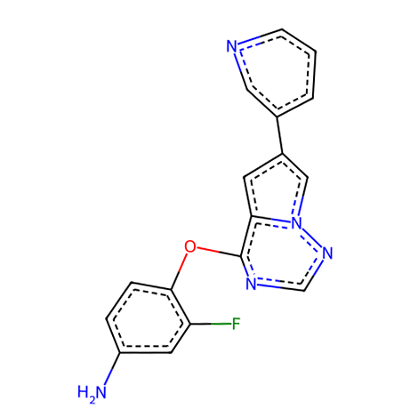 Nc1ccc(Oc2ncnn3cc(-c4cccnc4)cc23)c(F)c1